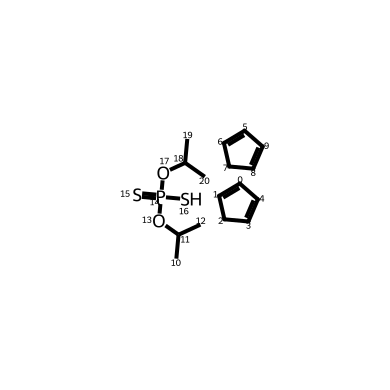 C1=CCC=C1.C1=CCC=C1.CC(C)OP(=S)(S)OC(C)C